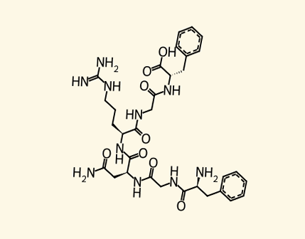 N=C(N)NCCC[C@H](NC(=O)[C@H](CC(N)=O)NC(=O)CNC(=O)[C@@H](N)Cc1ccccc1)C(=O)NCC(=O)N[C@@H](Cc1ccccc1)C(=O)O